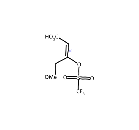 COC/C(=C\C(=O)O)OS(=O)(=O)C(F)(F)F